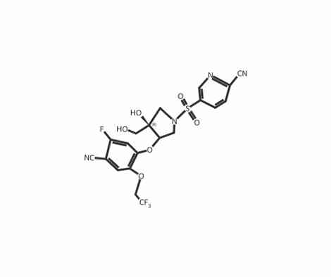 N#Cc1ccc(S(=O)(=O)N2CC(Oc3cc(F)c(C#N)cc3OCC(F)(F)F)[C@](O)(CO)C2)cn1